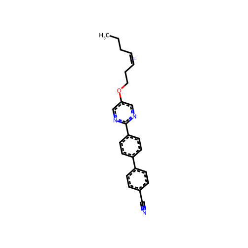 CCC/C=C\CCOc1cnc(-c2ccc(-c3ccc(C#N)cc3)cc2)nc1